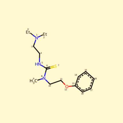 CCN(CC)CCNC(=S)N(C)CCOc1ccccc1